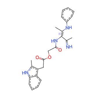 CC(=N)/C(NC(=O)COC(=O)Cc1c(C)[nH]c2ccccc12)=C(/C)Nc1ccccc1